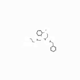 CC(=O)C[C@@H](C=O)NC(=O)CN1C(=O)[C@@H](NC(=O)Cc2ccccc2)CN(C(C)=O)c2ccccc21